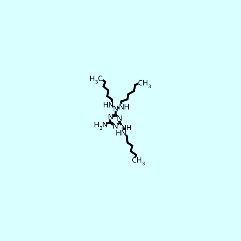 CCCCCCNNc1nc(N)nc(N(NCCCCCC)NCCCCCC)n1